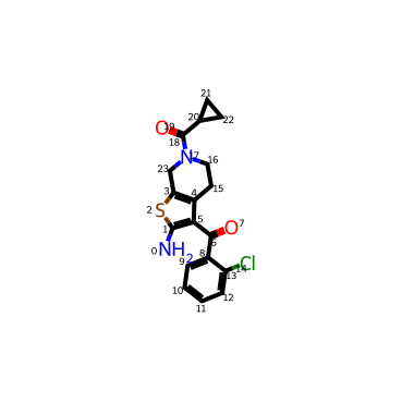 Nc1sc2c(c1C(=O)c1ccccc1Cl)CCN(C(=O)C1CC1)C2